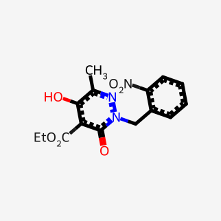 CCOC(=O)c1c(O)c(C)nn(Cc2ccccc2[N+](=O)[O-])c1=O